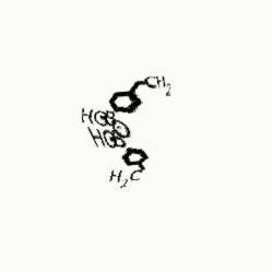 C=Cc1ccc(B(O)OB(O)c2ccc(C=C)cc2)cc1